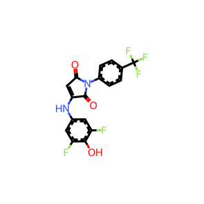 O=C1C=C(Nc2cc(F)c(O)c(F)c2)C(=O)N1c1ccc(C(F)(F)F)cc1